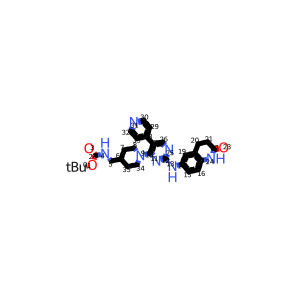 CC(C)(C)OC(=O)NCC1CCN(c2nc(Nc3ccc4c(c3)CCC(=O)N4)ncc2-c2ccncc2)CC1